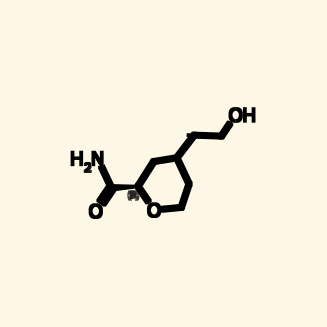 NC(=O)[C@H]1CC([CH]CO)CCO1